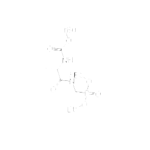 CCOP(=O)(OCC)[C@H](C)NC(=O)[C@H](C)NC(=O)OC(C)(C)C